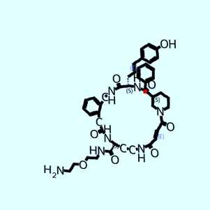 NCCOCCNC(=O)[C@@H]1CCNC(=O)/C=C/C(=O)N2CCC[C@](Cc3ccccc3)(C2)C(=O)N[C@@H](C/C=C/c2ccc(O)cc2)C(=O)NCc2ccccc2CC(=O)N1